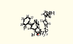 CC1(C)[C@H]2CC[C@]1(C(=O)N1CC(c3cc[nH]n3)C1)c1nnc(-c3ccccc3F)cc12